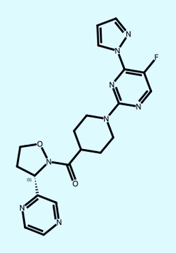 O=C(C1CCN(c2ncc(F)c(-n3cccn3)n2)CC1)N1OCC[C@H]1c1cnccn1